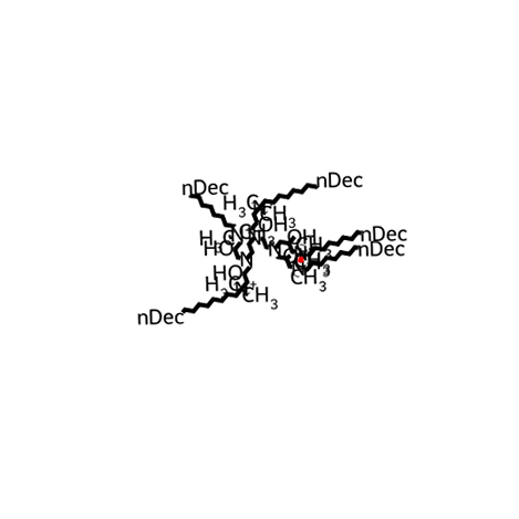 CCCCCCCCCCCCCCCCCC[N+](C)(C)CC(O)CN(CCN(CC(O)C[N+](C)(C)CCCCCCCCCCCCCCCCCC)CC(O)C[N+](C)(C)CCCCCCCCCCCCCCCCCC)CCN(CC(O)C[N+](C)(C)CCCCCCCCCCCCCCCCCC)CC(O)C[N+](C)(C)CCCCCCCCCCCCCCCCCC